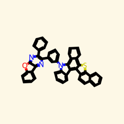 c1ccc(-c2nc3oc4ccccc4c3nc2-c2cccc(-n3c4ccccc4c4c5c6ccc7ccccc7c6sc5c5ccccc5c43)c2)cc1